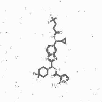 Cn1nccc1C(=O)N[C@H](c1nc2cc([C@@H](NC(=O)CCC(F)(F)F)C3CC3)ccc2[nH]1)C1CCC(F)(F)CC1